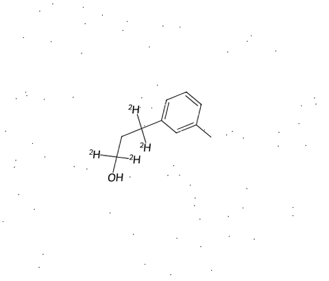 [2H]C([2H])(O)CC([2H])([2H])c1cccc(C)c1